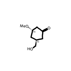 CO[C@@H]1CC(=O)C[C@@H](CO)C1